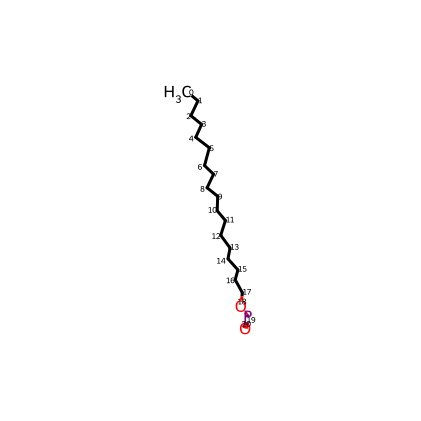 CCCCCCCCCCCCCCCCCCOP=O